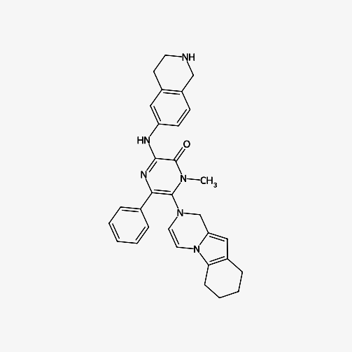 Cn1c(N2C=Cn3c(cc4c3CCCC4)C2)c(-c2ccccc2)nc(Nc2ccc3c(c2)CCNC3)c1=O